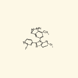 Cc1cc(-n2c(-c3ccnc(F)c3)nc3ccc(C(F)(F)F)nc32)cc2cn[nH]c12